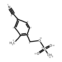 Cc1cc(C#N)ccc1COS(C)(=O)=O